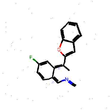 C=N/C=c1/ccc(F)c/c1=C(/C)c1cc2ccccc2o1